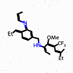 C\C=C/N=C1/C=C(CNC(=C/C)/C(OC)=C(\C=C(/C)CC)C(F)(F)F)C=C/C1=C\CC